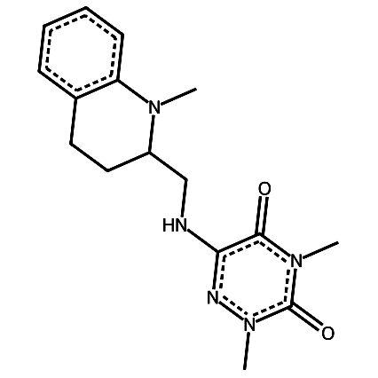 CN1c2ccccc2CCC1CNc1nn(C)c(=O)n(C)c1=O